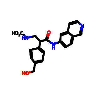 O=C(O)NCC(C(=O)Nc1ccc2cnccc2c1)c1ccc(CO)cc1